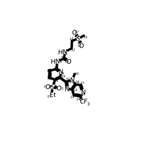 CCS(=O)(=O)c1ccc(NC(=O)NCCS(C)(=O)=O)nc1-c1nc2cc(C(F)(F)F)ncc2n1C